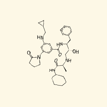 C[C@H](NC[C@@H](O)[C@H](Cc1ccccc1)NC(=O)c1cc(NCC2CC2)cc(N2CCCC2=O)c1)C(=O)NC1CCCCC1